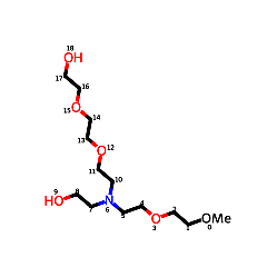 COCCOCCN(CCO)CCOCCOCCO